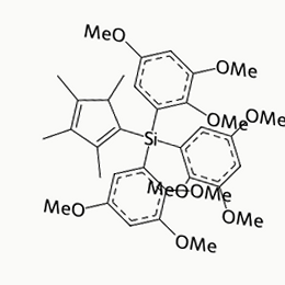 COc1cc(OC)c(OC)c([Si](C2=C(C)C(C)=C(C)C2C)(c2cc(OC)cc(OC)c2OC)c2cc(OC)cc(OC)c2OC)c1